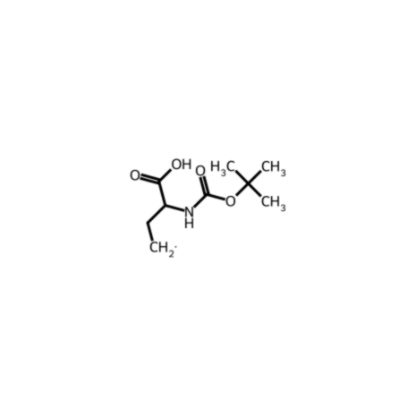 [CH2]CC(NC(=O)OC(C)(C)C)C(=O)O